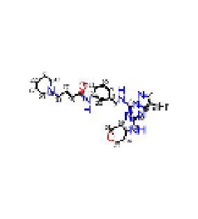 CC(C)c1cnn2c(NCc3cccc(NC(=O)/C=C/CN4CCCCC4)c3)nc(NC3CCOCC3)nc12